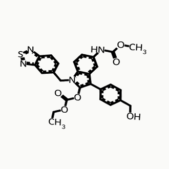 CCOC(=O)Oc1c(-c2ccc(CO)cc2)c2cc(NC(=O)OC)ccc2n1Cc1ccc2nsnc2c1